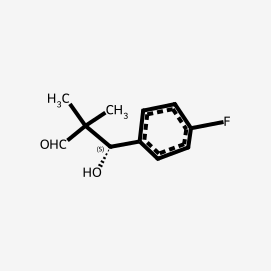 CC(C)(C=O)[C@@H](O)c1ccc(F)cc1